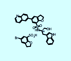 O=S(=O)(N[C@@H](CO)Cc1c[nH]c2ccccc12)c1cc(-c2ccc3ncccc3c2)cc2c1OCC2.O=S(=O)(O)c1cc(Br)cc2c1OCC2